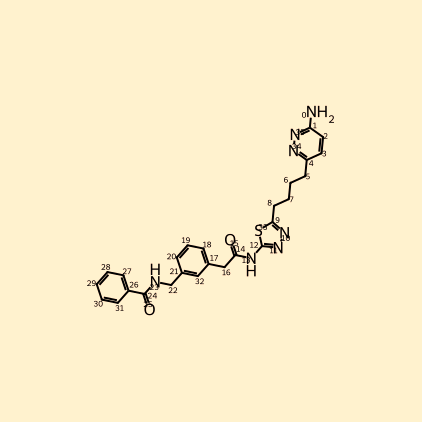 Nc1ccc(CCCCc2nnc(NC(=O)Cc3cccc(CNC(=O)c4ccccc4)c3)s2)nn1